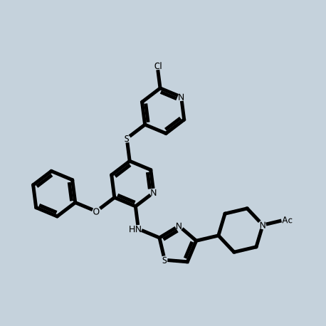 CC(=O)N1CCC(c2csc(Nc3ncc(Sc4ccnc(Cl)c4)cc3Oc3ccccc3)n2)CC1